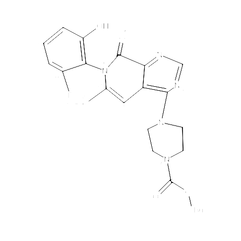 CC(C)(C)OC(=O)N1CCN(c2ncnc3c(=O)n(-c4c(O)cccc4F)c(C(F)(F)F)cc23)CC1